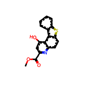 COC(=O)c1cc(O)c2c(ccc3sc4ccccc4c32)n1